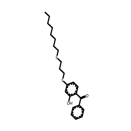 CCCCCCCCSCCCSc1ccc(C(=O)c2ccccc2)c(O)c1